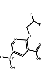 O=C(O)c1cc([NH+]([O-])O)cnc1OCC(F)F